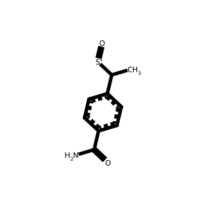 CC([S+]=O)c1ccc(C(N)=O)cc1